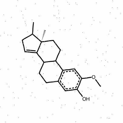 COc1cc2c(cc1O)CCC1C3=CCC(C)[C@@]3(C)CCC21